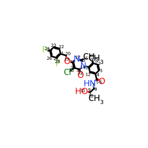 Cc1ccc(C(=O)NC[C@H](C)O)cc1-n1c(C)nc(OCc2ccc(F)cc2F)c(Cl)c1=O